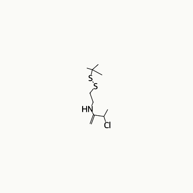 C=C(NCCSSC(C)(C)C)C(C)Cl